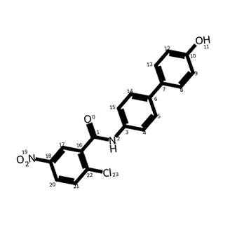 O=C(Nc1ccc(-c2ccc(O)cc2)cc1)c1cc([N+](=O)[O-])ccc1Cl